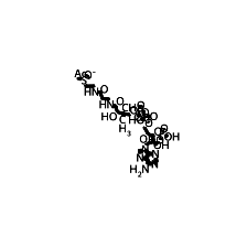 CC(=O)C[S+]([O-])CCNC(=O)CCNC(=O)C(O)C(C)(C)COP(=O)(O)OP(=O)(O)OCC1OC(n2cnc3c(N)ncnc32)C(O)C1OP(=O)(O)O